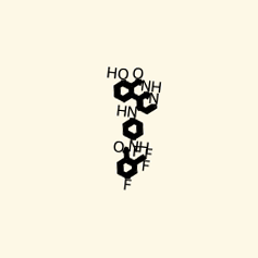 O=C(Nc1ccc(Nc2ccnc3[nH]c(=O)c4c(O)cccc4c23)cc1)c1ccc(F)cc1C(F)(F)F